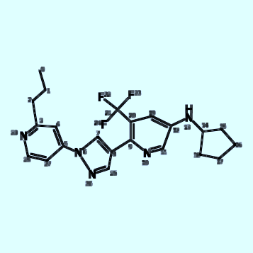 CCCc1cc(-n2cc(-c3ncc(NC4CCCC4)cc3C(F)(F)F)cn2)ccn1